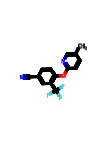 Cc1ccc(Oc2ccc(C#N)cc2C(F)(F)F)nc1